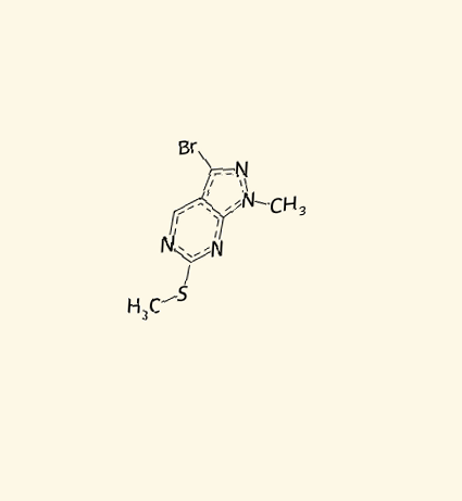 CSc1ncc2c(Br)nn(C)c2n1